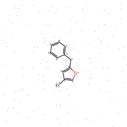 CCc1coc(Cc2ccccc2)c1